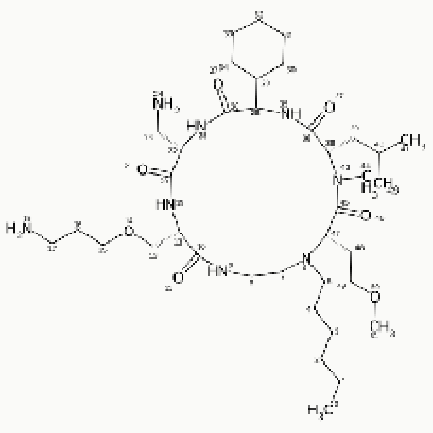 CCCCCCN1CCNC(=O)[C@H](COCCCN)NC(=O)[C@H](CN)NC(=O)C(C2CCCCC2)NC(=O)[C@H](CC(C)C)N(C)C(=O)[C@@H]1CCOC